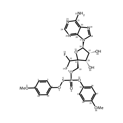 COc1ccc(OSP(=O)(OC[C@@]2(C(F)F)O[C@@H](n3cnc4c(N)ncnc43)[C@H](O)[C@@H]2O)Oc2ccc(OC)cc2)cc1